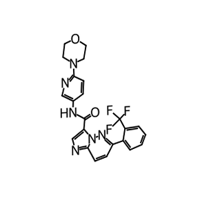 O=C(Nc1ccc(N2CCOCC2)nc1)c1cnc2ccc(-c3ccccc3C(F)(F)F)nn12